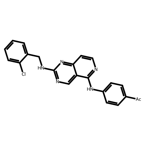 CC(=O)c1ccc(Nc2nccc3nc(NCc4ccccc4Cl)ncc23)cc1